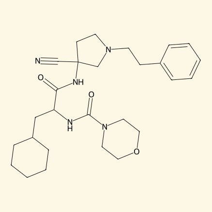 N#CC1(NC(=O)C(CC2CCCCC2)NC(=O)N2CCOCC2)CCN(CCc2ccccc2)C1